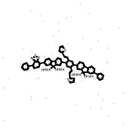 CCCCCCC1(CCCCCC)c2cc(-c3ccccc3)ccc2-c2ccc(-c3cc(/C=C/c4cccs4)c(-c4ccc5c(c4)C(CCCCCC)(CCCCCC)c4cc(-c6ccc(-c7ccccc7)c7nsnc67)ccc4-5)cc3/C=C/c3cccs3)cc21